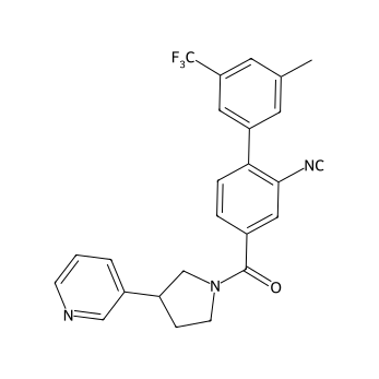 [C-]#[N+]c1cc(C(=O)N2CCC(c3cccnc3)C2)ccc1-c1cc(C)cc(C(F)(F)F)c1